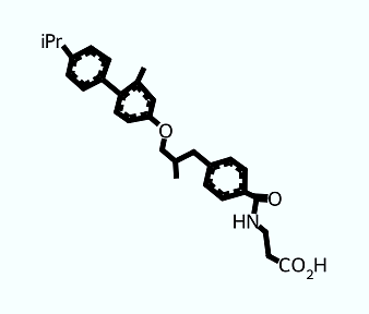 Cc1cc(OCC(C)Cc2ccc(C(=O)NCCC(=O)O)cc2)ccc1-c1ccc(C(C)C)cc1